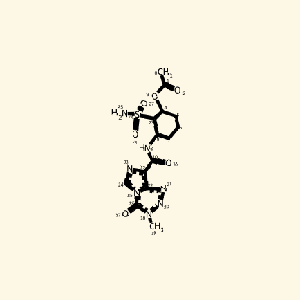 CC(=O)OC1CCCC(NC(=O)c2ncn3c(=O)n(C)nnc23)C1S(N)(=O)=O